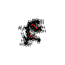 CC1OC(OC2C(C)OC(OC(=O)[C@@H]3CC(C)(C)CC4C5=CCC6[C@@]7(C)CC[C@H](OC8OC(OC=O)C(O)C(OC9OCC(O)C(O)C9O)C8OC8OC(CO)C(O)C(O)C8O)[C@@](C)(/C=N/NCCCCCCN8C(=O)C=CC8=O)C7CC[C@@]6(C)[C@]5(C)C[C@@H](O)C43)C(OC3OC(C)C(OC4OCC(O)C(OC5OC(CO)C(O)C(O)C5O)C4O)C(O)C3C)C2O)C(O)C(OC2OCC(O)C(O)C2O)C1C